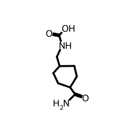 NC(=O)C1CCC(CNC(=O)O)CC1